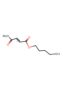 CCCCCCCCCCCCOC(=O)/C=C/C(=O)OC